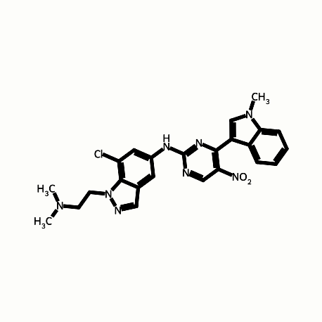 CN(C)CCn1ncc2cc(Nc3ncc([N+](=O)[O-])c(-c4cn(C)c5ccccc45)n3)cc(Cl)c21